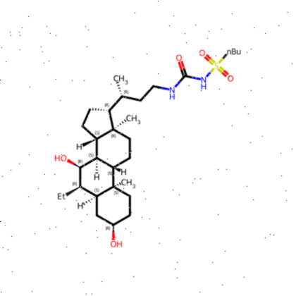 CCCCS(=O)(=O)NC(=O)NCC[C@@H](C)[C@H]1CC[C@H]2[C@@H]3[C@H](O)[C@H](CC)[C@@H]4C[C@H](O)CC[C@]4(C)[C@H]3CC[C@]12C